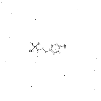 CCP(=O)(CC)OCCc1ccc(Br)cc1